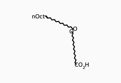 CCCCCCCCC=CCCCCCCCCCCCC(=O)OCCCCCCCCCCCCCCC(=O)O